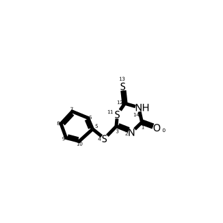 O=c1nc(Sc2ccccc2)sc(=S)[nH]1